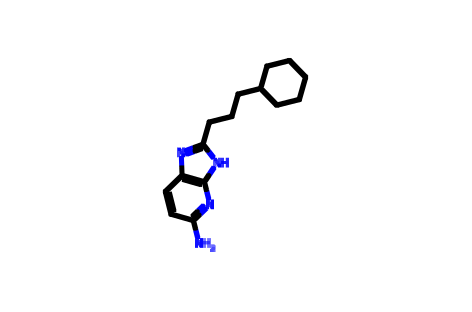 Nc1ccc2nc(CCCC3CCCCC3)[nH]c2n1